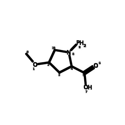 COC1CC(C(=O)O)N(P)C1